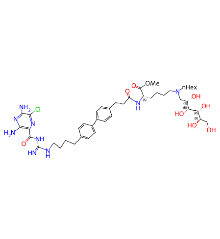 CCCCCCN(CCCC[C@H](NC(=O)CCc1ccc(-c2ccc(CCCCNC(=N)NC(=O)c3nc(Cl)c(N)nc3N)cc2)cc1)C(=O)OC)C[C@H](O)[C@@H](O)[C@H](O)[C@H](O)CO